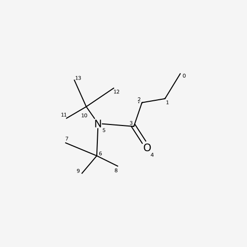 CC[CH]C(=O)N(C(C)(C)C)C(C)(C)C